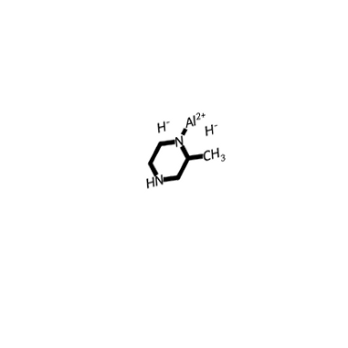 CC1CNCC[N]1[Al+2].[H-].[H-]